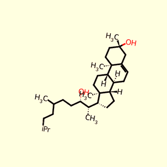 CC(C)CCC(C)CC[C@H](O)[C@@H](C)[C@H]1CC[C@H]2[C@@H]3CC=C4C[C@@](C)(O)CC[C@]4(C)[C@H]3CC[C@]12C